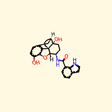 O=C(N[C@@H]1CC[C@@]2(O)[C@@H]3CCC[C@@]24c2c(ccc(O)c2O[C@@H]14)C3)c1cccc2cc[nH]c12